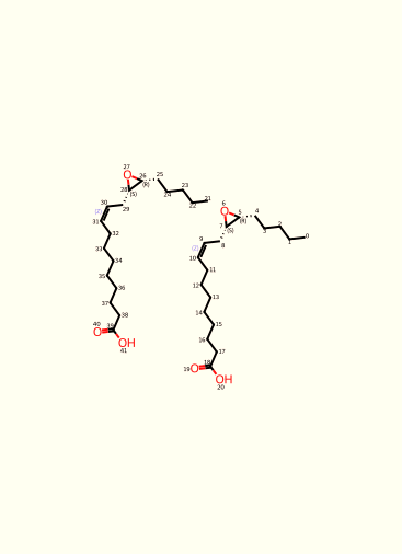 CCCCC[C@H]1O[C@H]1C/C=C\CCCCCCCC(=O)O.CCCCC[C@H]1O[C@H]1C/C=C\CCCCCCCC(=O)O